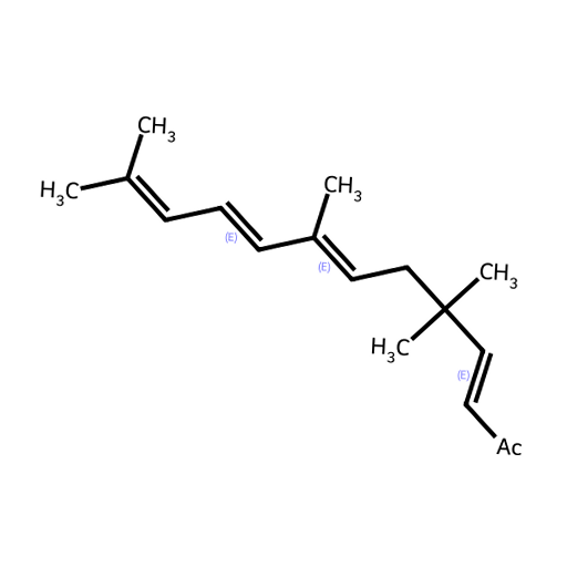 CC(=O)/C=C/C(C)(C)C/C=C(C)/C=C/C=C(C)C